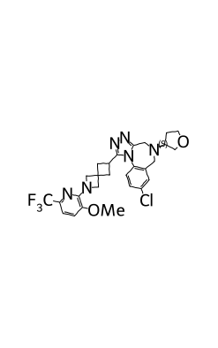 COc1ccc(C(F)(F)F)nc1N1CC2(CC(c3nnc4n3-c3ccc(Cl)cc3CN([C@H]3CCOC3)C4)C2)C1